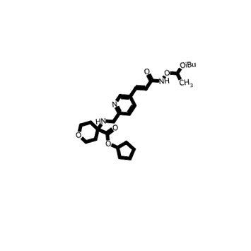 CC(C)COC(C)ONC(=O)/C=C/c1ccc(CNC2(C(=O)OC3CCCC3)CCOCC2)nc1